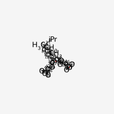 CC(C)CCCC(C)C1CCC2C3CCC4CC(c5ccc(OC(=O)c6ccc7c(c6)C(=O)OC7=O)cc5)(c5ccc(Oc6ccc7c(c6)C(=O)OC7=O)cc5)CCC4(C)C3CCC12C